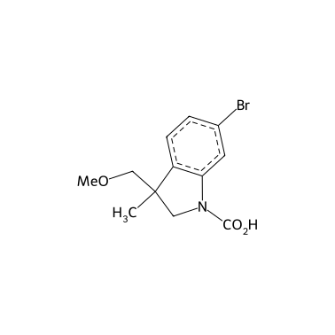 COCC1(C)CN(C(=O)O)c2cc(Br)ccc21